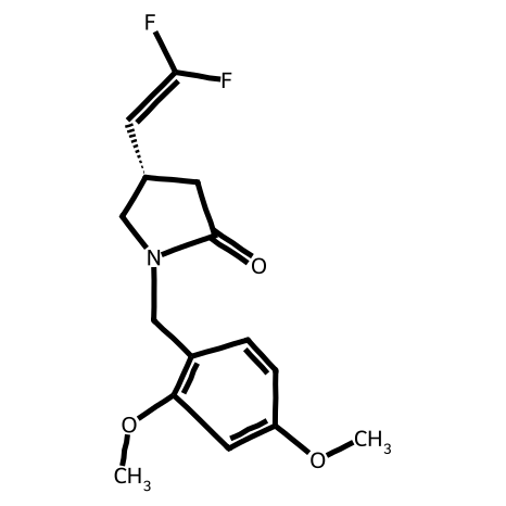 COc1ccc(CN2C[C@H](C=C(F)F)CC2=O)c(OC)c1